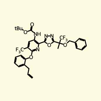 C=CCc1ccccc1Oc1nc(-c2nnc(C(C)(OCc3ccccc3)C(F)(F)F)o2)c(NC(=O)OC(C)(C)C)cc1C(F)(F)F